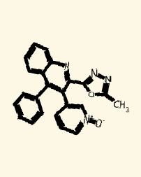 Cc1nnc(-c2nc3ccccc3c(-c3ccccc3)c2-c2ccc[n+]([O-])c2)o1